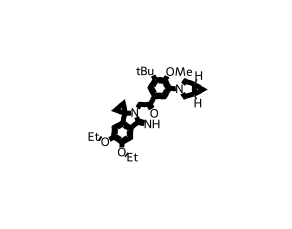 CCOc1cc2c(cc1OCC)C1(CC1)N(CC(=O)c1cc(N3C[C@H]4C[C@H]4C3)c(OC)c(C(C)(C)C)c1)C2=N